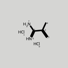 Cl.Cl.[CH]=C(C)C(=N)N